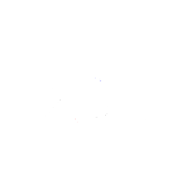 CN1CC(C)(C)Oc2ccccc21